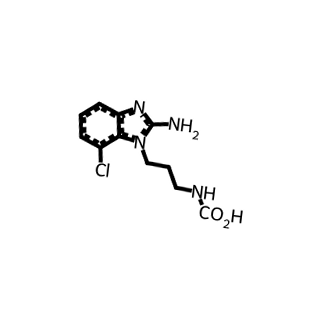 Nc1nc2cccc(Cl)c2n1CCCNC(=O)O